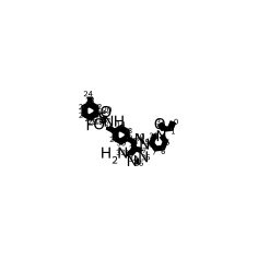 C=CC(=O)N1CCC[C@@H](n2nc(-c3ccc(CNS(=O)(=O)c4cc(C)ccc4F)cc3)c3c(N)ncnc32)C1